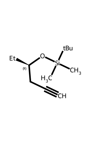 C#CC[C@@H](CC)O[Si](C)(C)C(C)(C)C